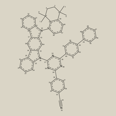 CC1(C)CCC(C)(C)c2c(-n3c4ccccc4c4cc5c6ccccc6n(-c6nc(-c7ccc(C#N)cc7)nc(-c7ccc(-c8ccccc8)cc7)n6)c5cc43)cccc21